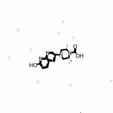 C[C@@H]1CN(c2cnc3nc(O)ccc3c2)C[C@H](C)N1C(=O)O